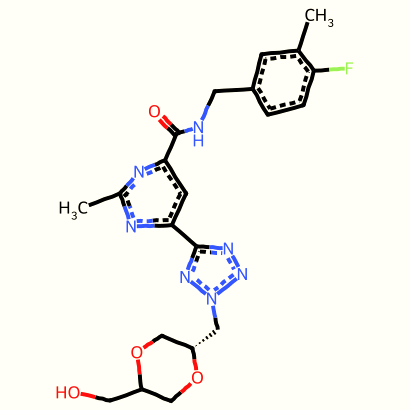 Cc1nc(C(=O)NCc2ccc(F)c(C)c2)cc(-c2nnn(C[C@H]3COC(CO)CO3)n2)n1